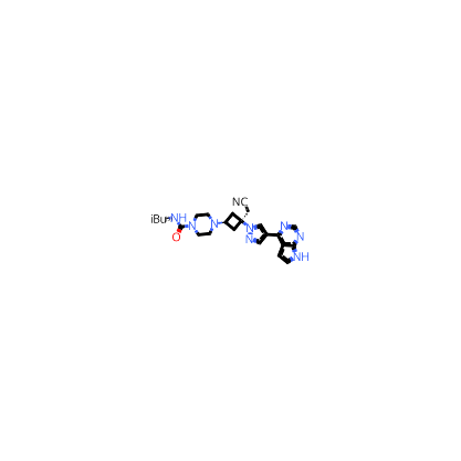 CC[C@H](C)NC(=O)N1CCN([C@H]2C[C@@](CC#N)(n3cc(-c4ncnc5[nH]ccc45)cn3)C2)CC1